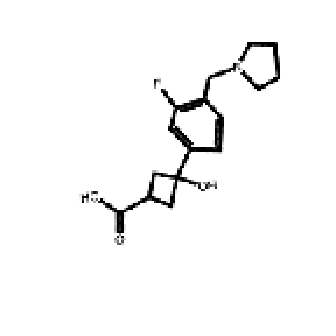 O=C(O)C1CC(O)(c2ccc(CN3CCCC3)c(F)c2)C1